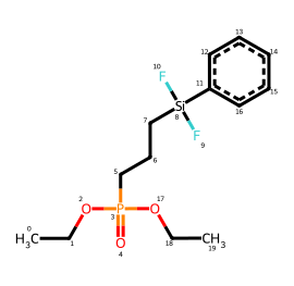 CCOP(=O)(CCC[Si](F)(F)c1ccccc1)OCC